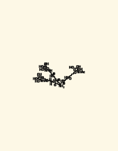 CC(=O)N[C@H]1[C@H](OCCCCCC(=O)NCCCNC(=O)CCC(N)(CCC(=O)CCCNC(=O)CCCCCO[C@@H]2O[C@H](CO)[C@H](O)[C@H](O)[C@H]2NC(C)=O)CCC(=O)NCCCNC(=O)CCCCCO[C@@H]2O[C@H](CO)[C@H](O)[C@H](O)[C@H]2NC(C)=O)O[C@H](CO)[C@H](O)[C@@H]1O